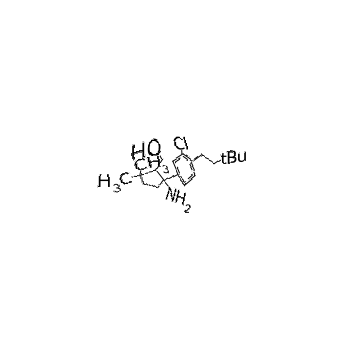 CC(C)(C)CCc1ccc(C2(N)CCC(C)(C)C2CO)cc1Cl